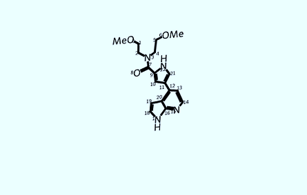 COCCN(CCOC)C(=O)c1cc(-c2ccnc3[nH]ccc23)c[nH]1